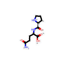 NC(=O)CCC(NC(=O)[C@@H]1CCCN1)C(=O)O